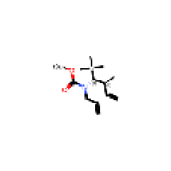 C=CCN(C(=O)OC(C)(C)C)[C@@H]([C@@H](C)C=C)[Si](C)(C)C